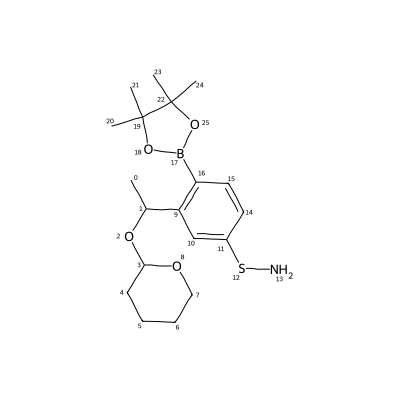 CC(OC1CCCCO1)c1cc(SN)ccc1B1OC(C)(C)C(C)(C)O1